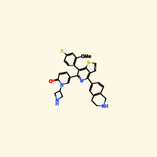 COc1cc(F)ccc1-c1c(-c2ccc(=O)n(C3CNC3)c2)nc(-c2ccc3c(c2)CCNC3)c2ccsc12